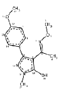 CON=C(C)c1c(-c2ccc(OC)cc2)nn(C)c1O